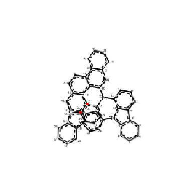 c1ccc(-n2c3ccccc3c3cccc(N(c4ccc5c(c4)sc4ccccc45)c4cc5ccccc5c5ccc6ccccc6c45)c32)cc1